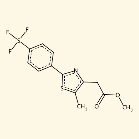 COC(=O)Cc1nc(-c2ccc(S(F)(F)F)cc2)sc1C